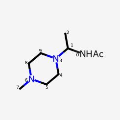 CC(=O)NC(C)N1CCN(C)CC1